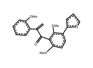 C=C(C(=O)c1c(OC)ccc(-c2cccs2)c1OC)c1ccccc1OC